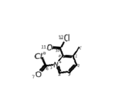 Cc1ccc[n+](C(=O)Cl)c1C(=O)Cl